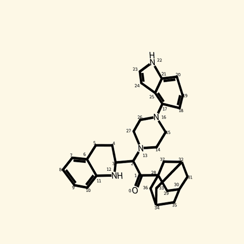 O=C(C(C1CCc2ccccc2N1)N1CCN(c2cccc3[nH]ccc23)CC1)C12CC3CC(CC(C3)C1)C2